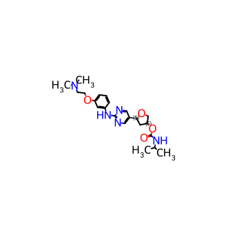 CC(C)NC(=O)O[C@@H]1CO[C@H](c2cnc(Nc3cccc(OCCN(C)C)c3)nc2)C1